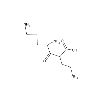 NCCCC(N)C(=O)C(CCN)C(=O)O